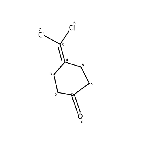 O=C1CCC(=C(Cl)Cl)CC1